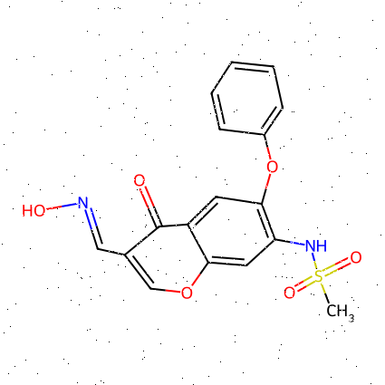 CS(=O)(=O)Nc1cc2occ(C=NO)c(=O)c2cc1Oc1ccccc1